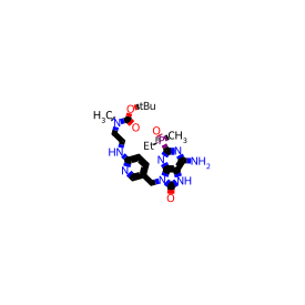 CC[P@@](C)(=O)c1nc(N)c2[nH]c(=O)n(Cc3ccc(NCCN(C)C(=O)OC(C)(C)C)nc3)c2n1